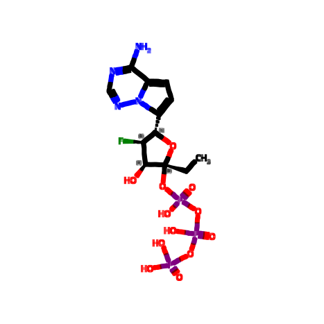 CC[C@]1(OP(=O)(O)OP(=O)(O)OP(=O)(O)O)O[C@@H](c2ccc3c(N)ncnn23)[C@H](F)[C@@H]1O